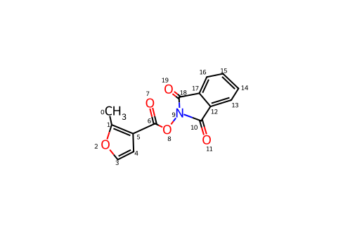 Cc1occc1C(=O)ON1C(=O)c2ccccc2C1=O